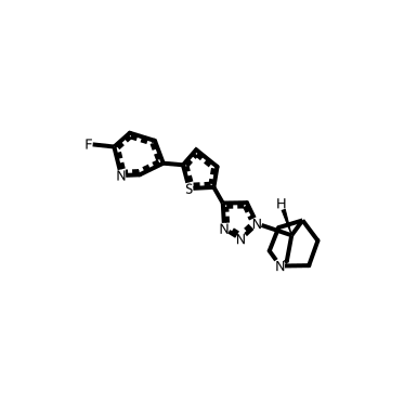 Fc1ccc(-c2ccc(-c3cn([C@H]4CN5CCC4CC5)nn3)s2)cn1